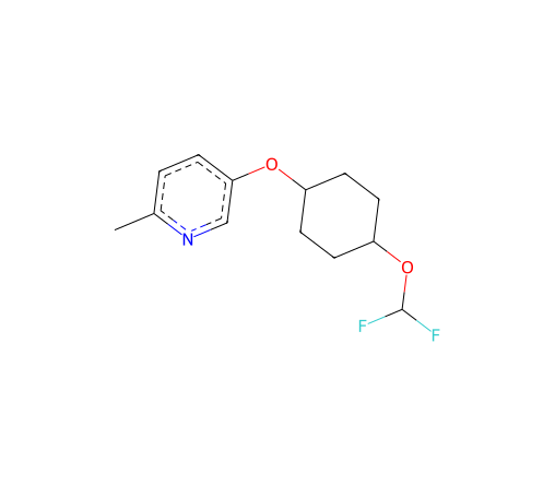 Cc1ccc(OC2CCC(OC(F)F)CC2)cn1